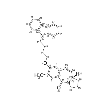 Cc1cc2c(cc1OCCCCn1c3ccccc3c3ccccc31)N=C[C@@H]1CCCN1C2=O